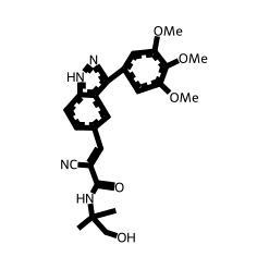 COc1cc(-c2n[nH]c3ccc(/C=C(\C#N)C(=O)NC(C)(C)CO)cc23)cc(OC)c1OC